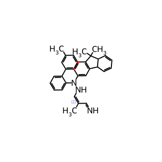 C/C(C=N)=C/NN(c1ccc2c(c1)C1C=CC=CC1C2(C)C)c1ccccc1-c1cccc(C)c1